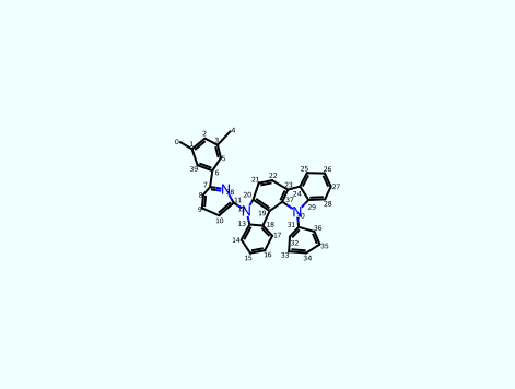 Cc1cc(C)cc(-c2cccc(-n3c4ccccc4c4c3ccc3c5ccccc5n(-c5ccccc5)c34)n2)c1